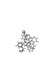 C1CCC(N2CCN(C3CCCCC3)C2=P(C2CCCCC2)(C2CCCCC2)C2CCCCC2)CC1.[Cl-].[Cl-].[Ru+2]=[CH]c1ccccc1